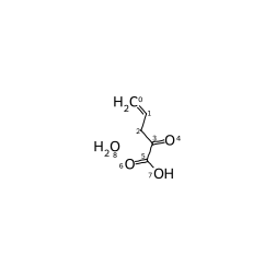 C=CCC(=O)C(=O)O.O